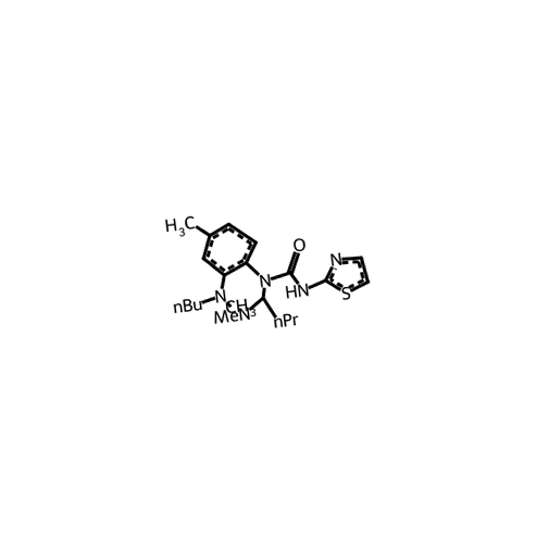 CCCCN(C)c1cc(C)ccc1N(C(=O)Nc1nccs1)C(CCC)NC